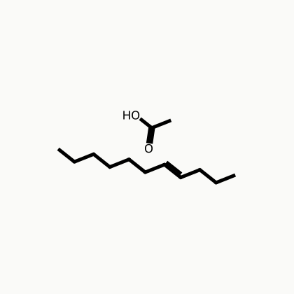 CC(=O)O.CCCC=CCCCCCC